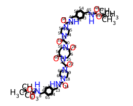 CC(C)(C)OC(=O)NCc1ccc(CNC(=O)N2CCN(C(=O)CN3CCC(=O)N(CC(=O)N4CCN(C(=O)NCc5ccc(CNC(=O)OC(C)(C)C)cc5)CC4)CCC3=O)CC2)cc1